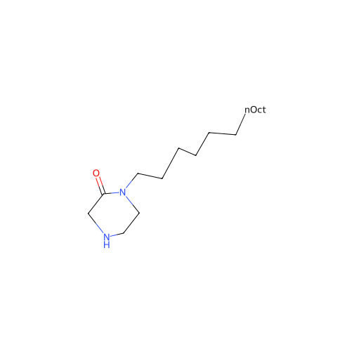 CCCCCCCCCCCCCCN1CCNCC1=O